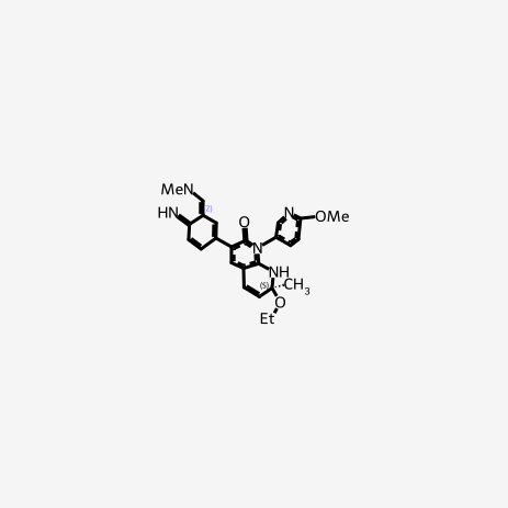 CCO[C@@]1(C)C=Cc2cc(C3=C/C(=C/NC)C(=N)C=C3)c(=O)n(-c3ccc(OC)nc3)c2N1